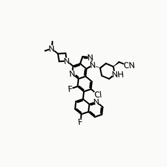 CN(C)C1CN(c2nc3c(F)c(-c4ccc(F)c5cccnc45)c(Cl)cc3c3c2cnn3[C@H]2CCN[C@H](CC#N)C2)C1